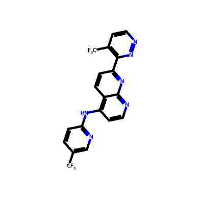 FC(F)(F)c1ccc(Nc2ccnc3nc(-c4nnccc4C(F)(F)F)ccc23)nc1